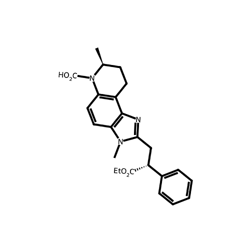 CCOC(=O)[C@H](Cc1nc2c3c(ccc2n1C)N(C(=O)O)[C@@H](C)CC3)c1ccccc1